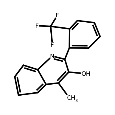 Cc1c(O)c(-c2ccccc2C(F)(F)F)nc2ccccc12